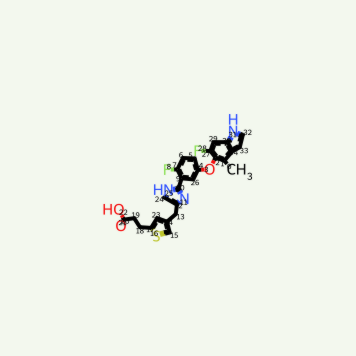 Cc1c(Oc2ccc(F)c(-c3nc(Cc4csc(CCC(=O)O)c4)c[nH]3)c2)c(F)cc2[nH]ccc12